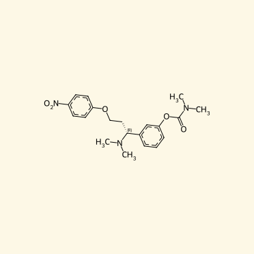 CN(C)C(=O)Oc1cccc([C@@H](CCOc2ccc([N+](=O)[O-])cc2)N(C)C)c1